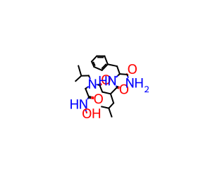 CC(C)CC(CC(=O)N(CC(=O)NO)CC(C)C)C(=O)NC(Cc1ccccc1)C(N)=O